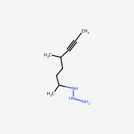 CC#CC(C)CCC(C)NNN